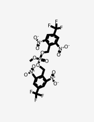 COP(=O)(OCc1c([N+](=O)[O-])cc(C(F)(F)F)cc1[N+](=O)[O-])OCc1c([N+](=O)[O-])cc(C(F)(F)F)cc1[N+](=O)[O-]